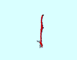 CC(=O)CC(=O)Oc1c(C)c(C)c(O)c(C/C=C(\C)CC/C=C(\C)CC/C=C(\C)CC/C=C(\C)CC/C=C(\C)CC/C=C(\C)CC/C=C(\C)CC/C=C(\C)CC/C=C(\C)CCC=C(C)C)c1C